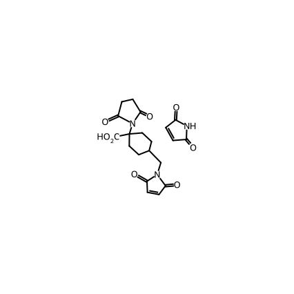 O=C1C=CC(=O)N1.O=C1C=CC(=O)N1CC1CCC(C(=O)O)(N2C(=O)CCC2=O)CC1